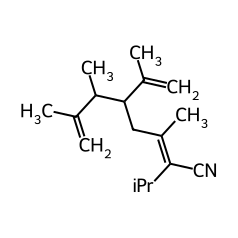 C=C(C)C(C)C(C/C(C)=C(/C#N)C(C)C)C(=C)C